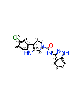 O=C(Nc1n[nH]c2ccccc12)N1CCc2c([nH]c3ccc(Cl)cc23)C1